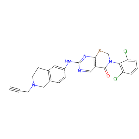 C#CCN1CCc2cc(Nc3ncc4c(n3)SCN(c3c(Cl)cccc3Cl)C4=O)ccc2C1